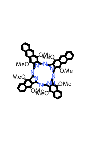 COc1c2c(c(OC)c3ccccc13)-c1nc-2nc2[nH]c(nc3nc(nc4c5c(OC)c6cc7ccccc7cc6c(OC)c5c(n1)n4C)-c1c-3c(OC)c3cc4ccccc4cc3c1OC)c1c(OC)c3ccccc3c(OC)c21